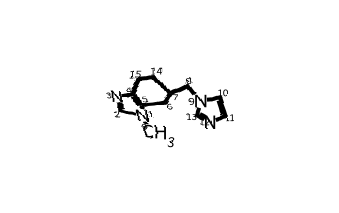 Cn1cnc2c1CC(Cn1ccnc1)CC2